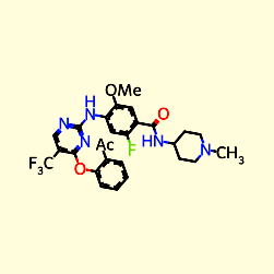 COc1cc(C(=O)NC2CCN(C)CC2)c(F)cc1Nc1ncc(C(F)(F)F)c(Oc2ccccc2C(C)=O)n1